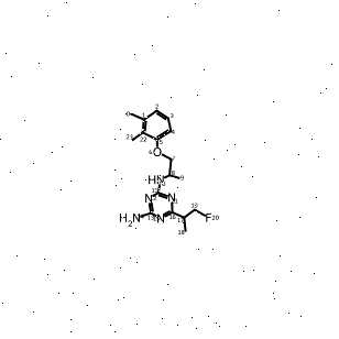 Cc1cccc(OCC(C)Nc2nc(N)nc(C(C)CF)n2)c1C